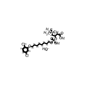 C[N+](C)(C)CC(CC(=O)O)OP(=O)(O)OCCCCCCCCOc1cc(Cl)ccc1Cl.[OH-]